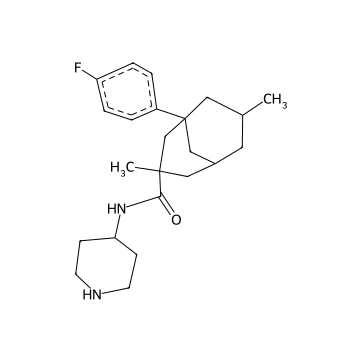 CC1CC2CC(C)(C(=O)NC3CCNCC3)CC(c3ccc(F)cc3)(C1)C2